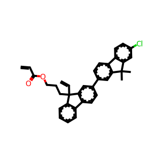 C=CC(=O)OCCCC1(C=C)c2ccccc2-c2ccc(-c3ccc4c(c3)C(C)(C)c3cc(Cl)ccc3-4)cc21